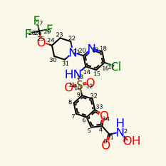 O=C(NO)c1cc2ccc(S(=O)(=O)Nc3cc(Cl)cnc3N3CCC(OC(F)(F)F)CC3)cc2o1